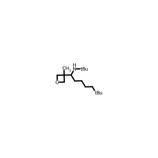 CC(C)(C)CCCCC(NC(C)(C)C)C1(C)COC1